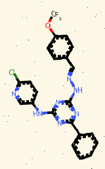 FC(F)(F)Oc1ccc(C=NNc2nc(Nc3ccc(Cl)nc3)nc(-c3ccccc3)n2)cc1